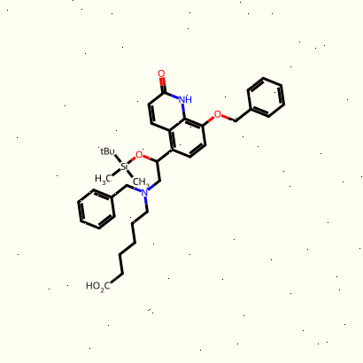 CC(C)(C)[Si](C)(C)OC(CN(CCCCCC(=O)O)Cc1ccccc1)c1ccc(OCc2ccccc2)c2[nH]c(=O)ccc12